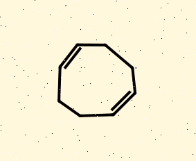 [CH]1/C=C\CC/C=C\C1